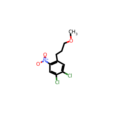 COCCCc1cc(Cl)c(Cl)cc1[N+](=O)[O-]